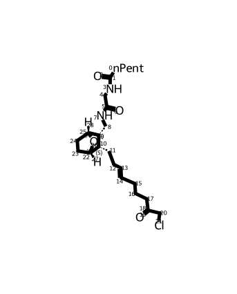 CCCCCC(=O)NCC(=O)NC[C@@H]1[C@H](CCC=CCCCC(=O)CCl)[C@@H]2CC[C@H]1O2